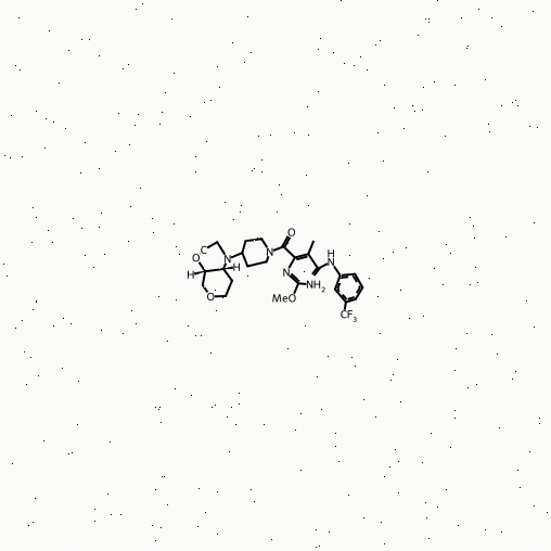 C=C(Nc1cccc(C(F)(F)F)c1)/C(C)=C(\N=C(/N)OC)C(=O)N1CCC(N2CCO[C@H]3COCC[C@H]32)CC1